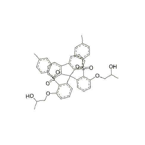 Cc1ccc(S(=O)(=O)c2c(OCC(C)O)cccc2C2(c3cccc(OCC(C)O)c3S(=O)(=O)c3ccc(C)cc3)c3ccccc3-c3ccccc32)cc1